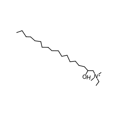 CCCCCCCCCCCCCCCCC(O)C[N+](C)(C)CC